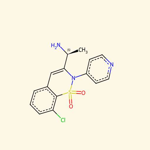 C[C@H](N)C1=Cc2cccc(Cl)c2S(=O)(=O)N1c1ccncc1